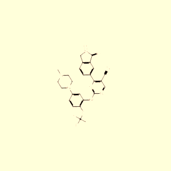 CN1CCN(c2ccc(OC(F)(F)F)c(Nc3ncc(C#N)c(-c4ccc5c(c4)C(=O)NC5)n3)c2)CC1